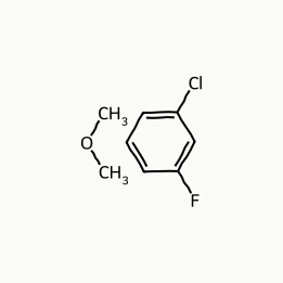 COC.Fc1cccc(Cl)c1